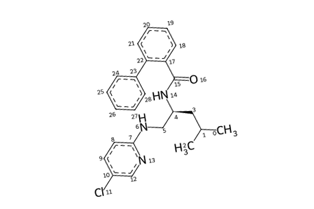 CC(C)C[C@@H](CNc1ccc(Cl)cn1)NC(=O)c1ccccc1-c1ccccc1